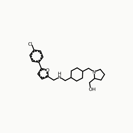 OCC1CCCN1CC1CCC(CNCc2ccc(-c3ccc(Cl)cc3)o2)CC1